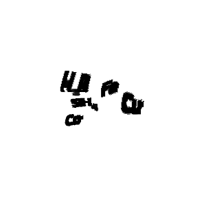 B.[Co].[Cu].[Fe].[SiH4]